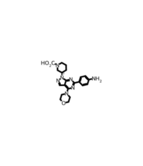 Nc1ccc(-c2nc(N3CCOCC3)c3cnn([C@@H]4CCCN(C(=O)O)C4)c3n2)cc1